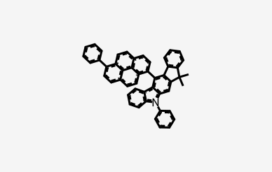 CC1(C)c2ccccc2-c2c1cc1c(c2-c2ccc3ccc4c(-c5ccccc5)ccc5ccc2c3c54)c2ccccc2n1-c1ccccc1